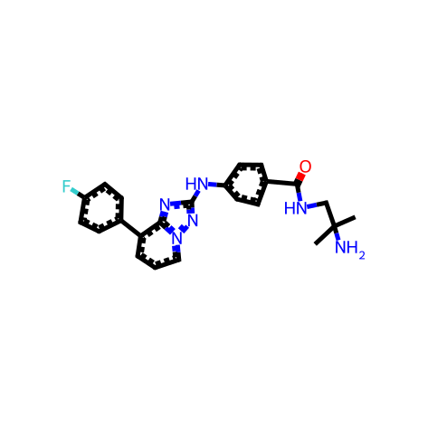 CC(C)(N)CNC(=O)c1ccc(Nc2nc3c(-c4ccc(F)cc4)cccn3n2)cc1